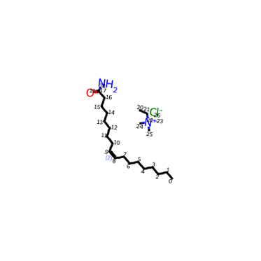 CCCCCCCC/C=C\CCCCCCCC(N)=O.CC[N+](C)(C)C.[Cl-]